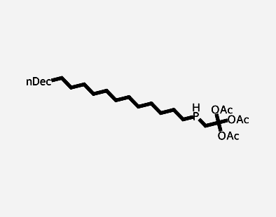 CCCCCCCCCCCCCCCCCCCCCCPCC(OC(C)=O)(OC(C)=O)OC(C)=O